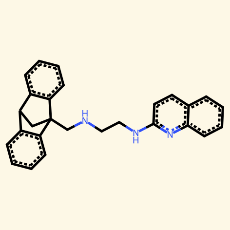 c1ccc2c(c1)C1CC2(CNCCNc2ccc3ccccc3n2)c2ccccc21